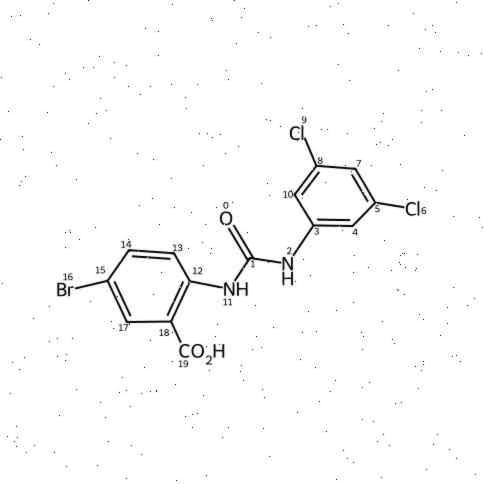 O=C(Nc1cc(Cl)cc(Cl)c1)Nc1ccc(Br)cc1C(=O)O